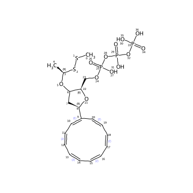 CSS[C@H](C)OC1C[C@H](C2=C/C=C\C=C/C=C\C=C/C=C\2)O[C@@H]1COP(=O)(O)OP(=O)(O)OP(=O)(O)O